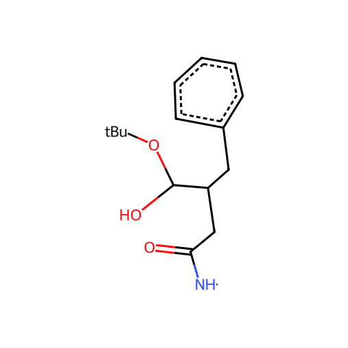 CC(C)(C)OC(O)C(CC([NH])=O)Cc1ccccc1